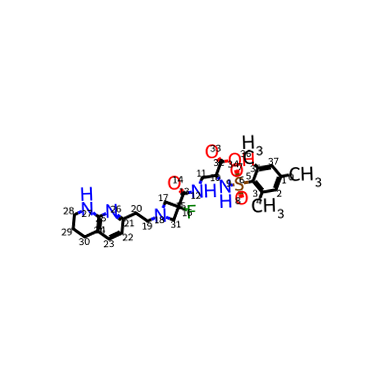 Cc1cc(C)c(S(=O)(=O)NC(CNC(=O)C2(F)CN(CCc3ccc4c(n3)NCCC4)C2)C(=O)O)c(C)c1